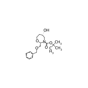 CC(C)(C)OC(=O)N1C[C@@H](O)CCO[C@@H]1COCc1ccccc1